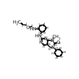 C=CCOCNc1ccccc1Nc1ncc2c(n1)N(C)C(=O)N(c1ccccc1)C2